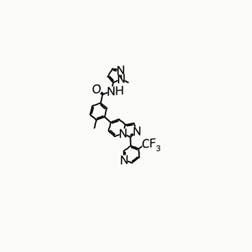 Cc1ccc(C(=O)Nc2ccnn2C)cc1-c1ccn2c(-c3cnccc3C(F)(F)F)ncc2c1